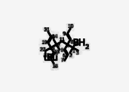 BC(C)(C)C(C=CC)(C=CC)CC(C)(C)C(C=CC)(C=CC)CC(C)(C)C